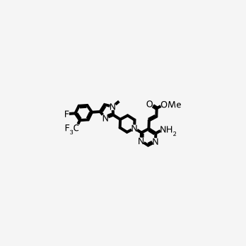 COC(=O)C=Cc1c(N)ncnc1N1CCC(c2nc(-c3ccc(F)c(C(F)(F)F)c3)cn2C)CC1